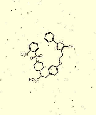 Cc1oc(-c2ccccc2)nc1CCOc1ccc(C[C@@H](C(=O)O)N2CCN(S(=O)(=O)c3ccccc3[N+](=O)[O-])CC2)cc1